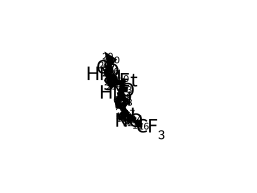 CCC(C(=O)Nc1ccc(-c2cncc(OCC(F)(F)F)n2)cn1)c1csc(NS(=O)(=O)C2CC2)n1